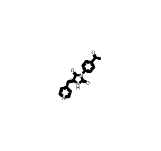 CC(=O)c1ccc(N2C(=O)N/C(=C\c3ccncc3)C2=O)cc1